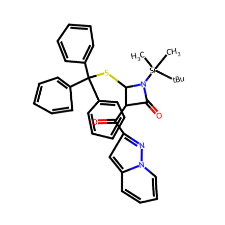 CC(C)(C)[Si](C)(C)N1C(=O)C(C(=O)c2cc3ccccn3n2)C1SC(c1ccccc1)(c1ccccc1)c1ccccc1